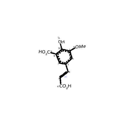 COc1cc(/C=C/C(=O)O)cc(C(=O)O)c1O